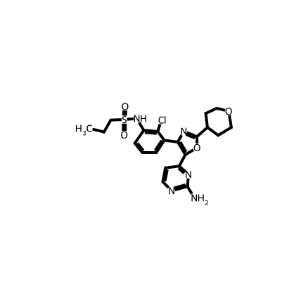 CCCS(=O)(=O)Nc1cccc(-c2nc(C3CCOCC3)oc2-c2ccnc(N)n2)c1Cl